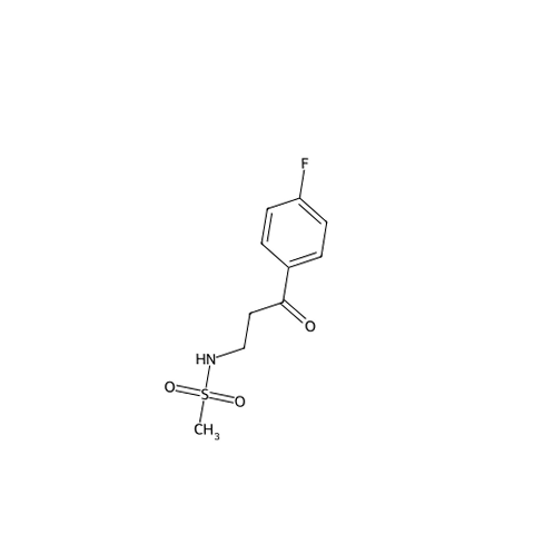 CS(=O)(=O)NCCC(=O)c1ccc(F)cc1